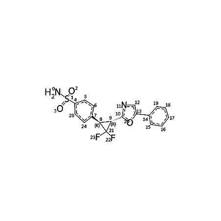 NS(=O)(=O)c1ccc([C@H]2[C@H](c3ncc(-c4ccccc4)o3)C2(F)F)cc1